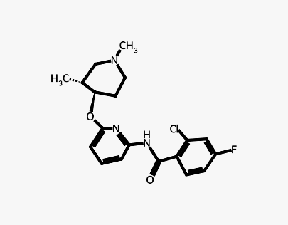 C[C@@H]1CN(C)CC[C@H]1Oc1cccc(NC(=O)c2ccc(F)cc2Cl)n1